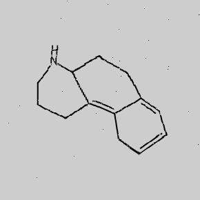 C1=CCC2=C3CCCNC3CCC2=C1